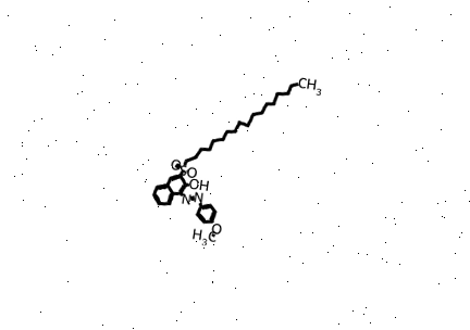 CCCCCCCCCCCCCCCCCCS(=O)(=O)c1cc2ccccc2c(/N=N/c2ccc(OC)cc2)c1O